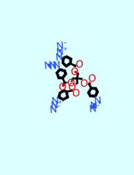 [N-]=[N+]=Nc1ccc(C(=O)OCC(COC(=O)c2ccc(N=[N+]=[N-])cc2)(COC(=O)c2ccc(N=[N+]=[N-])cc2)COC(=O)c2ccc(N=[N+]=[N-])cc2)cc1